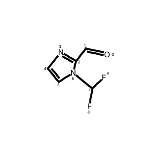 O=Cc1nccn1C(F)F